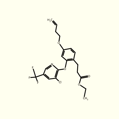 C=CCCOc1ccc(CCC(=O)OCC)c(Oc2ncc(C(F)(F)F)cc2Cl)c1